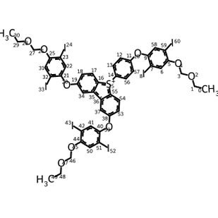 CCOCOc1cc(I)c(Oc2ccc(-[s+]3c4ccc(Oc5cc(I)c(OCOCC)cc5I)cc4c4cc(Oc5cc(I)c(OCOCC)cc5I)ccc43)cc2)cc1I